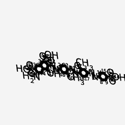 COc1cc(N=Nc2ccc(S(=O)(=O)O)cc2)ccc1N=Nc1ccc(N=Nc2c(S(=O)(=O)O)cc3cc(S(=O)(=O)O)c(N)cc3c2O)cc1C